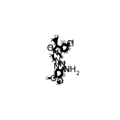 COc1cc2nc(N3CCN(C(=O)C(c4cccc(Cl)c4)C4CC4)CC3)nc(N)c2cc1OC